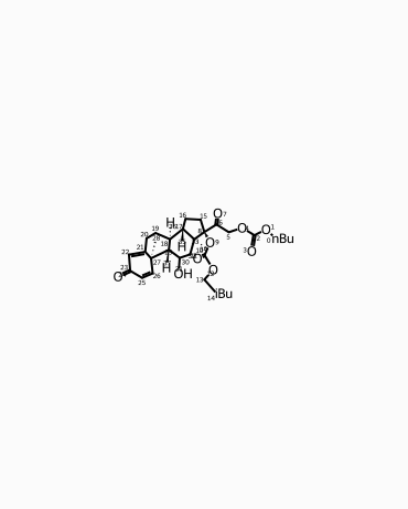 CCCCOC(=O)OCC(=O)[C@@]1(OC(=O)OCC(C)CC)CC[C@H]2[C@@H]3CCC4=CC(=O)C=C[C@]4(C)[C@H]3C(O)C[C@@]21C